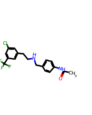 CC(=O)Nc1ccc(CNCCc2cc(Cl)cc(C(F)(F)F)c2)cc1